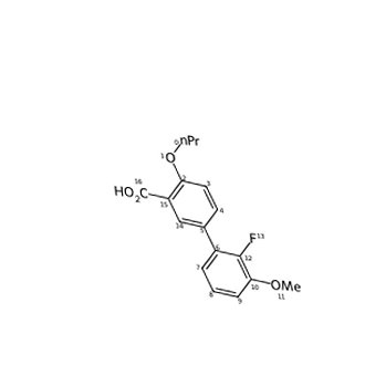 CCCOc1ccc(-c2cccc(OC)c2F)cc1C(=O)O